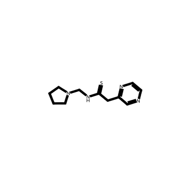 S=C(Cc1cnccn1)NCN1CCCC1